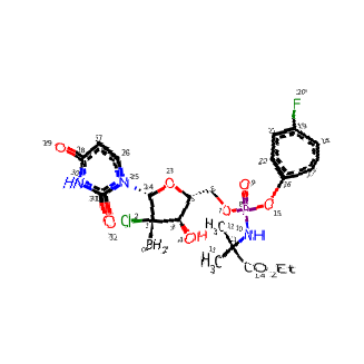 B[C@]1(Cl)[C@H](O)[C@@H](COP(=O)(NC(C)(C)C(=O)OCC)Oc2ccc(F)cc2)O[C@H]1n1ccc(=O)[nH]c1=O